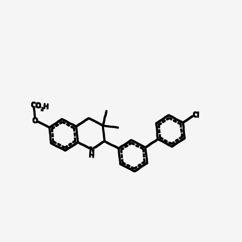 CC1(C)Cc2cc(OC(=O)O)ccc2NC1c1cccc(-c2ccc(Cl)cc2)c1